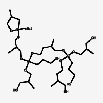 CCCCCCCC[Si]1(OCC(C)CO[Si](CCCS)(OCCC(C)CO[Si](CCCS)(OCCC(C)CO)OCC(C)CO)OCC(C)CO)CC(C)CO1